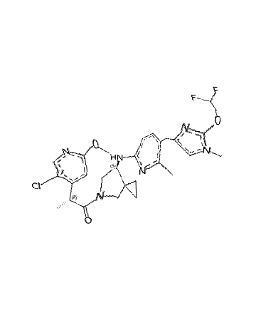 COc1cc([C@@H](C)C(=O)N2C[C@@H](Nc3ccc(-c4cn(C)c(OC(F)F)n4)c(C)n3)C3(CC3)C2)c(Cl)cn1